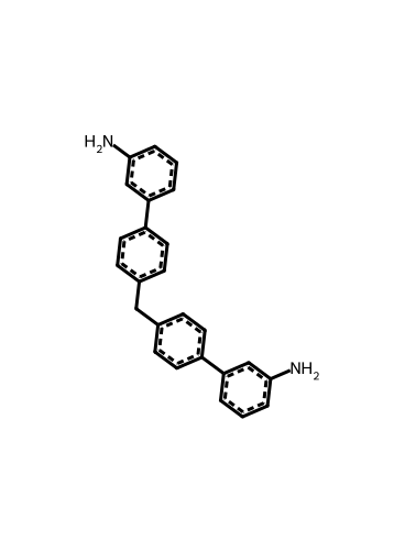 Nc1cccc(-c2ccc(Cc3ccc(-c4cccc(N)c4)cc3)cc2)c1